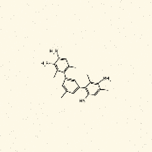 Bc1cc(C)c(-c2cc(C)cc(-c3c(S)cc(C)c(B)c3C)c2)c(C)c1B